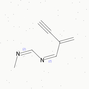 C#CC(=C)/C=N\C=N/C